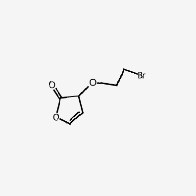 O=C1OC=CC1OCCBr